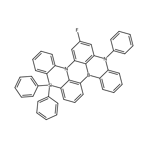 Fc1cc2c3c(c1)N1c4ccccc4[Si](c4ccccc4)(c4ccccc4)c4cccc(c41)B3c1ccccc1N2c1ccccc1